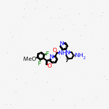 COc1ccc(F)c(-c2coc3ccc(C(=O)Nc4cnccc4N4C[C@H](C)C[C@H](N)C4)nc23)c1F